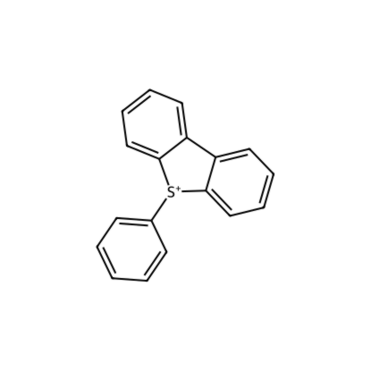 c1ccc(-[s+]2c3ccccc3c3ccccc32)cc1